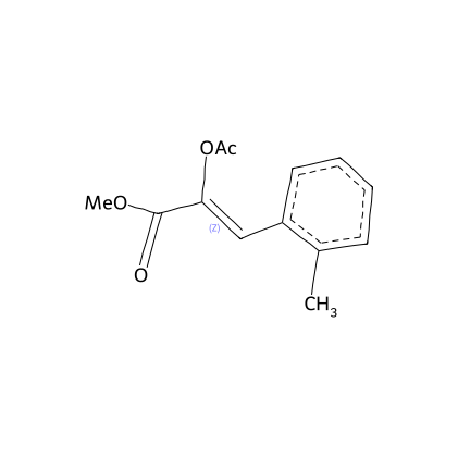 COC(=O)/C(=C/c1ccccc1C)OC(C)=O